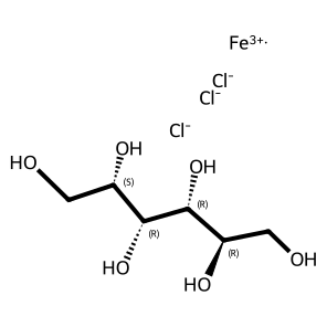 OC[C@@H](O)[C@@H](O)[C@H](O)[C@@H](O)CO.[Cl-].[Cl-].[Cl-].[Fe+3]